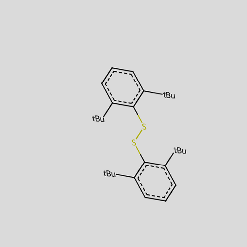 CC(C)(C)c1cccc(C(C)(C)C)c1SSc1c(C(C)(C)C)cccc1C(C)(C)C